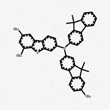 CC(C)(C)c1ccc2c(c1)C(C)(C)c1cc(N(c3ccc4c(c3)C(C)(C)c3ccccc3-4)c3ccc4c(c3)sc3c(C(C)(C)C)cc(C(C)(C)C)cc34)ccc1-2